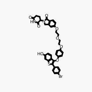 O=C1CCC(N2Cc3cc(OCCOCCOc4ccc(Oc5c(-c6ccc(Br)cc6)sc6cc(O)ccc56)cc4)ccc3C2=O)C(=O)N1